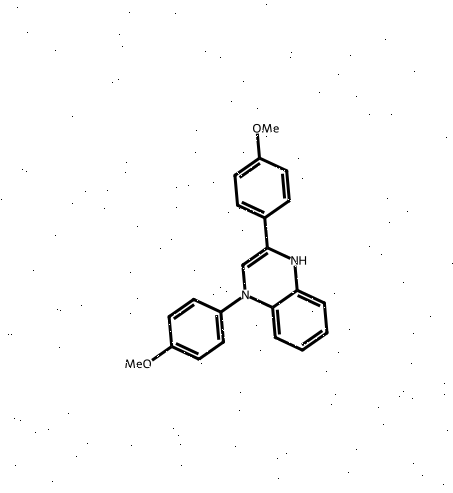 COc1ccc(C2=CN(c3ccc(OC)cc3)c3ccccc3N2)cc1